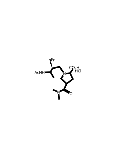 CCC[C@@H](CN1CC(C(=O)N(C)C)CC1C(=O)O)C(C)NC(C)=O.Cl